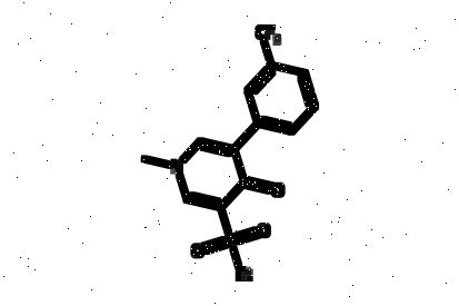 CCS(=O)(=O)c1cn(C)cc(-c2cccc(C(F)(F)F)c2)c1=O